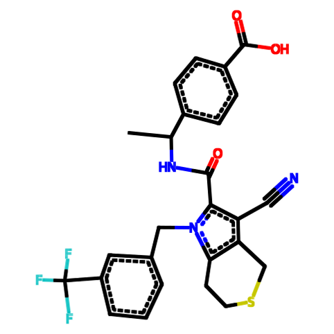 CC(NC(=O)c1c(C#N)c2c(n1Cc1cccc(C(F)(F)F)c1)CCSC2)c1ccc(C(=O)O)cc1